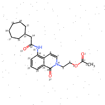 CC(=O)OCCn1ccc2c(NC(=O)CC3CCCCCC3)cccc2c1=O